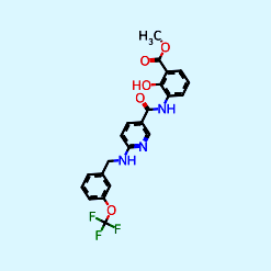 COC(=O)c1cccc(NC(=O)c2ccc(NCc3cccc(OC(F)(F)F)c3)nc2)c1O